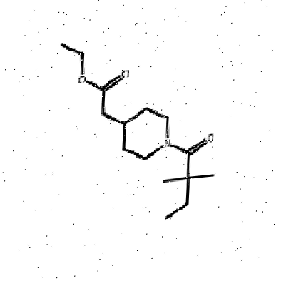 CCOC(=O)CC1CCN(C(=O)C(C)(C)CC)CC1